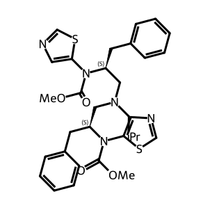 COC(=O)N(c1cncs1)[C@@H](Cc1ccccc1)CN(CC(C)C)C[C@H](Cc1ccccc1)N(C(=O)OC)c1cncs1